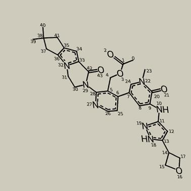 CC(=O)OCc1c(-c2cc(Nc3cc(C4COC4)[nH]n3)c(=O)n(C)c2)ccnc1N1CCn2c(cc3c2CC(C)(C)C3)C1=O